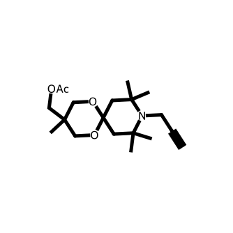 C#CCN1C(C)(C)CC2(CC1(C)C)OCC(C)(COC(C)=O)CO2